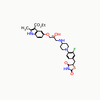 CCOC(=O)c1c(C)[nH]c2ccc(OC[C@@H](O)CNC3CCN(c4ccc(CC5SC(=O)NC5=O)cc4F)CC3)cc12